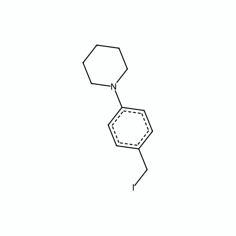 ICc1ccc(N2CCCCC2)cc1